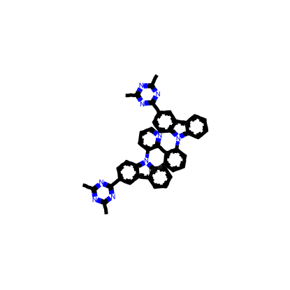 Cc1nc(C)nc(-c2ccc3c(c2)c2ccccc2n3-c2cccnc2-c2c(C#N)cccc2-n2c3ccccc3c3cc(-c4nc(C)nc(C)n4)ccc32)n1